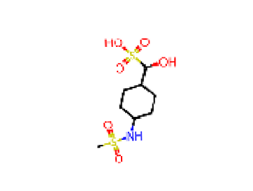 CS(=O)(=O)NC1CCC([C@H](O)S(=O)(=O)O)CC1